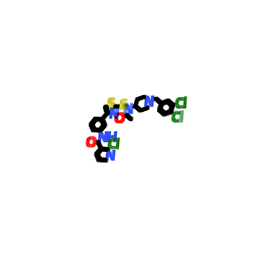 CC(=O)N(Sc1nc(-c2cccc(NC(=O)c3cccnc3Cl)c2)cs1)C1CCN(Cc2ccc(Cl)c(Cl)c2)CC1